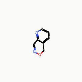 [c]1ccc2c(n1)C=NOC2